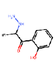 CC(C)C(NN)C(=O)c1ccccc1O